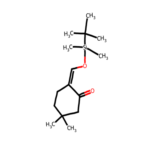 CC1(C)CCC(=CO[Si](C)(C)C(C)(C)C)C(=O)C1